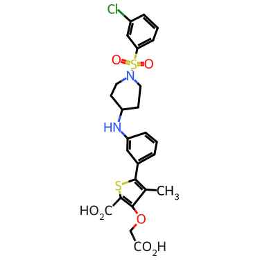 Cc1c(-c2cccc(NC3CCN(S(=O)(=O)c4cccc(Cl)c4)CC3)c2)sc(C(=O)O)c1OCC(=O)O